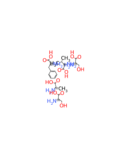 CC(C)[C@H](N)C(=O)O.C[C@H](N)C(=O)O.N[C@@H](CO)C(=O)O.N[C@@H](CO)C(=O)O.N[C@@H](Cc1ccccc1)C(=O)O